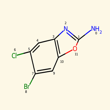 Nc1nc2cc(Cl)c(Br)cc2o1